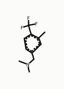 Cc1cc(CN(C)C)ccc1C(F)(F)F